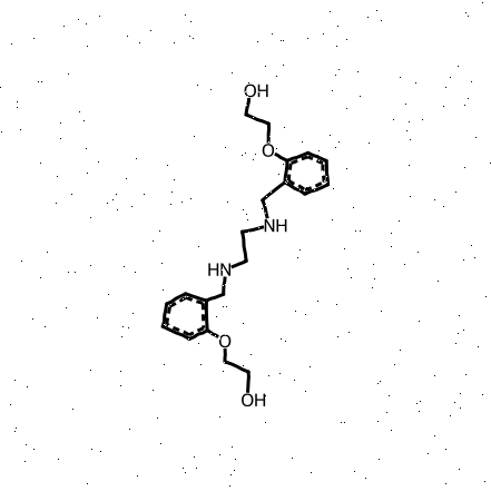 OCCOc1ccccc1CNCCNCc1ccccc1OCCO